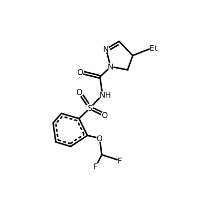 CCC1C=NN(C(=O)NS(=O)(=O)c2ccccc2OC(F)F)C1